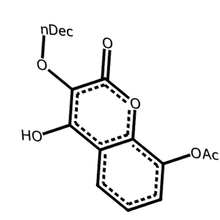 CCCCCCCCCCOc1c(O)c2cccc(OC(C)=O)c2oc1=O